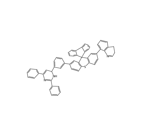 C1=Nc2c(cccc2-c2ccc3c(c2)C2(c4cc(-c5cccc(C6C=C(c7ccccc7)N=C(c7ccccc7)N6)c5)ccc4S3)c3ccccc3-c3ccccc32)CC1